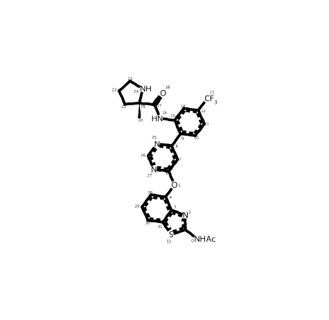 CC(=O)Nc1nc2c(Oc3cc(-c4ccc(C(F)(F)F)cc4NC(=O)[C@]4(C)CCCN4)ncn3)cccc2s1